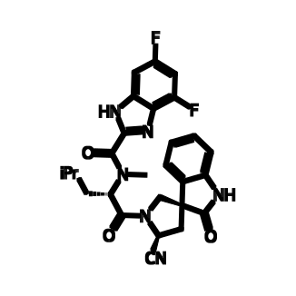 CC(C)C[C@@H](C(=O)N1C[C@]2(C[C@H]1C#N)C(=O)Nc1ccccc12)N(C)C(=O)c1nc2c(F)cc(F)cc2[nH]1